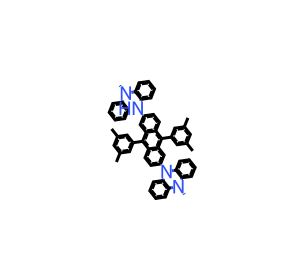 Cc1cc(C)cc(-c2c3ccc(N4c5ccccc5N(C)c5ccccc54)cc3c(-c3cc(C)cc(C)c3)c3ccc(Nc4ccccc4N(C)c4ccccc4)cc23)c1